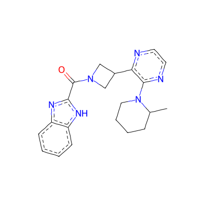 CC1CCCCN1c1nccnc1C1CN(C(=O)c2nc3ccccc3[nH]2)C1